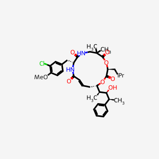 COc1ccc(C[C@H]2NC(=O)/C=C/C[C@@H]([C@H](C)[C@@H](O)[C@@H](C)c3ccccc3)OC(=O)[C@H](CC(C)C)OC(=O)C(C)(C)CNC2=O)cc1Cl